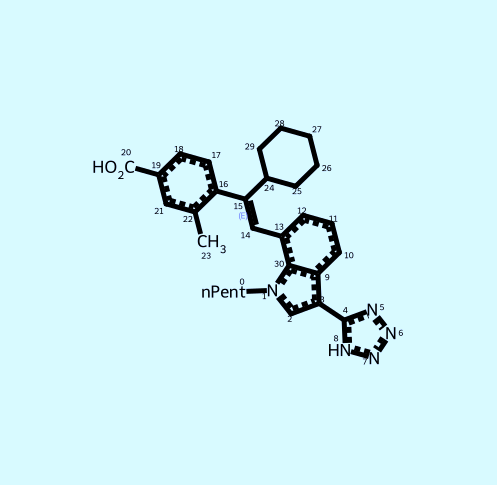 CCCCCn1cc(-c2nnn[nH]2)c2cccc(/C=C(/c3ccc(C(=O)O)cc3C)C3CCCCC3)c21